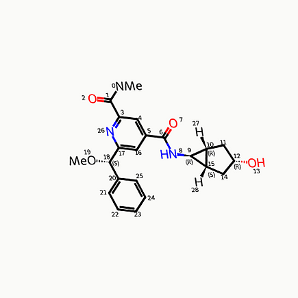 CNC(=O)c1cc(C(=O)N[C@H]2[C@@H]3C[C@H](O)C[C@@H]32)cc([C@@H](OC)c2ccccc2)n1